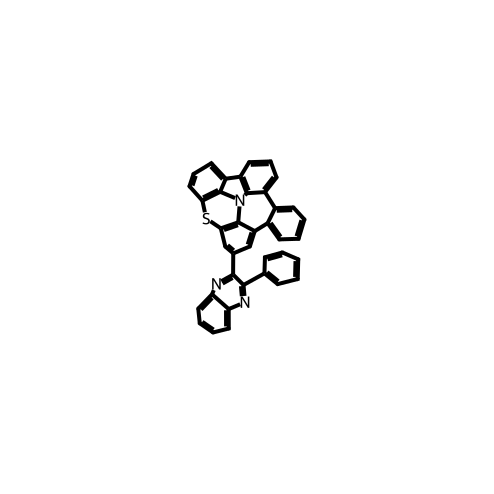 c1ccc(-c2nc3ccccc3nc2-c2cc3c4c(c2)-c2ccccc2-c2cccc5c6cccc(c6n-4c25)S3)cc1